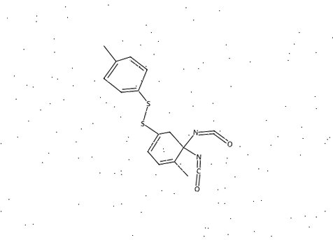 CC1=CC=C(SSc2ccc(C)cc2)CC1(N=C=O)N=C=O